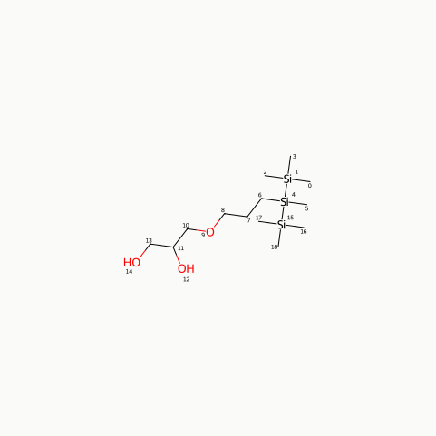 C[Si](C)(C)[Si](C)(CCCOCC(O)CO)[Si](C)(C)C